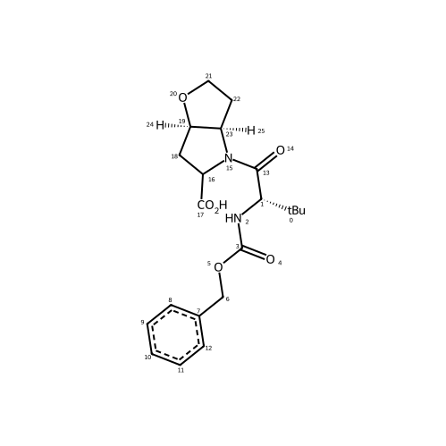 CC(C)(C)[C@H](NC(=O)OCc1ccccc1)C(=O)N1C(C(=O)O)C[C@H]2OCC[C@H]21